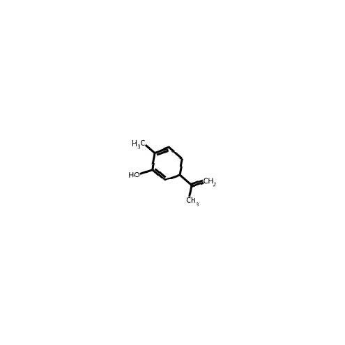 C=C(C)C1C=C(O)C(C)=CC1